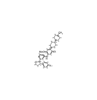 CCc1cc(Nc2cc(N3OCC[C@@H]3c3ccc(F)cc3)ncn2)c(OC)cc1N1CCC(N2CCN(C)CC2)CC1